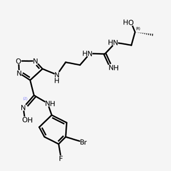 C[C@@H](O)CNC(=N)NCCNc1nonc1/C(=N/O)Nc1ccc(F)c(Br)c1